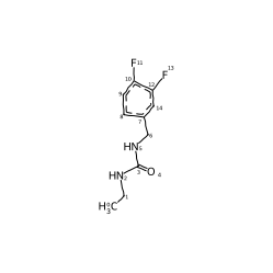 CCNC(=O)NCc1ccc(F)c(F)c1